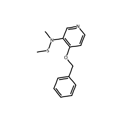 CSN(C)c1cnccc1OCc1ccccc1